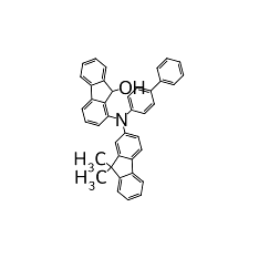 CC1(C)c2ccccc2-c2ccc(N(c3ccc(-c4ccccc4)cc3)c3cccc4c3C(O)c3ccccc3-4)cc21